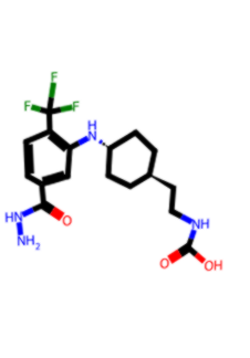 NNC(=O)c1ccc(C(F)(F)F)c(N[C@H]2CC[C@H](CCNC(=O)O)CC2)c1